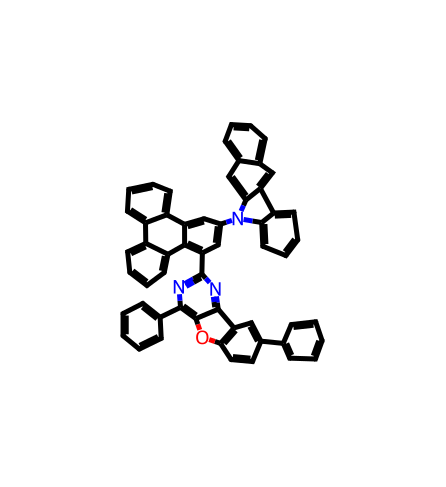 c1ccc(-c2ccc3oc4c(-c5ccccc5)nc(-c5cc(-n6c7ccccc7c7cc8ccccc8cc76)cc6c7ccccc7c7ccccc7c56)nc4c3c2)cc1